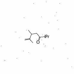 C=C(C)C(C)CC(=O)C(C)C